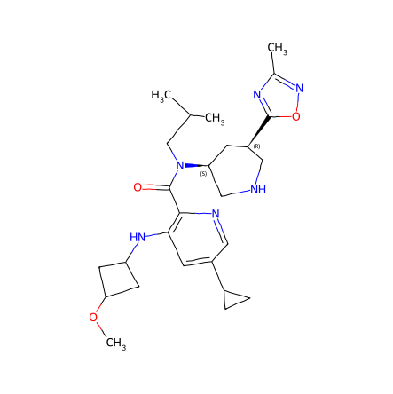 COC1CC(Nc2cc(C3CC3)cnc2C(=O)N(CC(C)C)[C@@H]2CNC[C@H](c3nc(C)no3)C2)C1